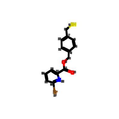 O=C(OCc1ccc(CS)cc1)c1cccc(Br)n1